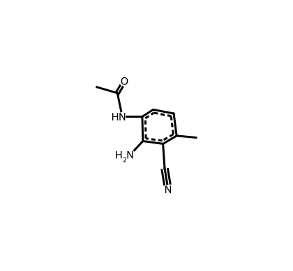 CC(=O)Nc1ccc(C)c(C#N)c1N